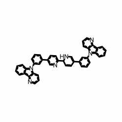 C1=CC(c2ccc(-c3cccc(-n4c5ccccc5c5ncccc54)c3)cn2)NC=C1c1cccc(-n2c3ccccc3c3ncccc32)c1